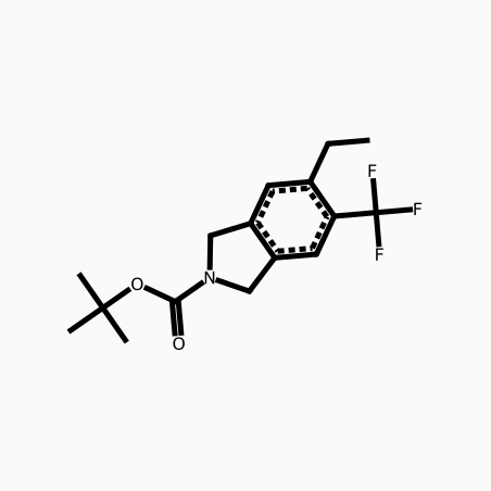 CCc1cc2c(cc1C(F)(F)F)CN(C(=O)OC(C)(C)C)C2